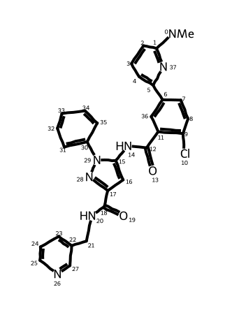 CNc1cccc(-c2ccc(Cl)c(C(=O)Nc3cc(C(=O)NCc4cccnc4)nn3-c3ccccc3)c2)n1